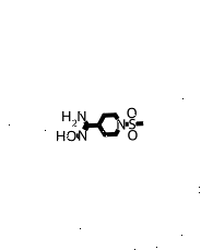 CS(=O)(=O)N1CCC(/C(N)=N/O)CC1